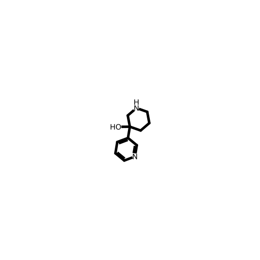 OC1(c2cccnc2)CCCNC1